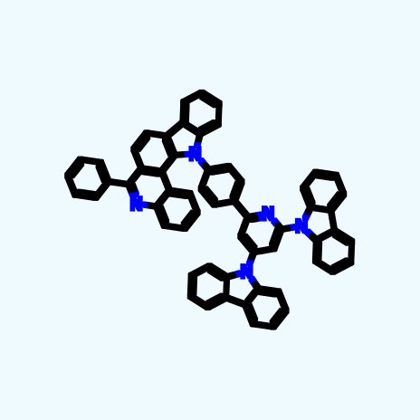 c1ccc(-c2nc3ccccc3c3c2ccc2c4ccccc4n(-c4ccc(-c5cc(-n6c7ccccc7c7ccccc76)cc(-n6c7ccccc7c7ccccc76)n5)cc4)c23)cc1